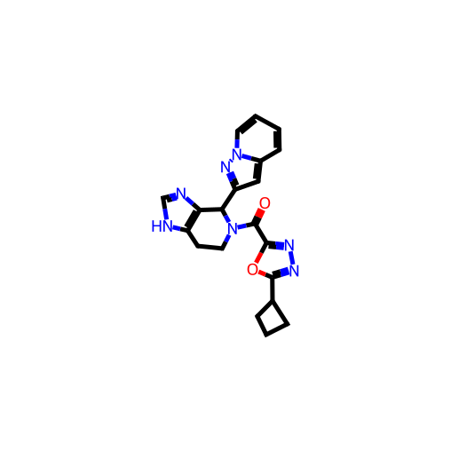 O=C(c1nnc(C2CCC2)o1)N1CCc2[nH]cnc2C1c1cc2ccccn2n1